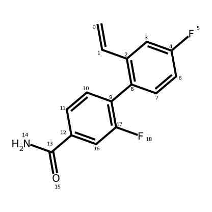 C=Cc1cc(F)ccc1-c1ccc(C(N)=O)cc1F